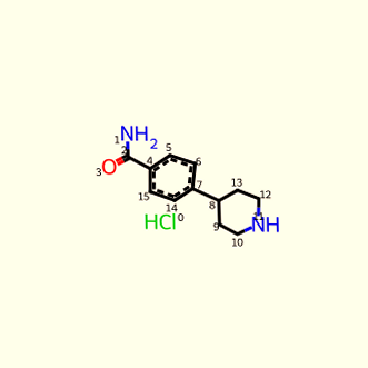 Cl.NC(=O)c1ccc(C2CCNCC2)cc1